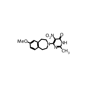 COc1ccc2c(c1)CCN(c1nc(C)[nH]c(=O)c1[N+](=O)[O-])CC2